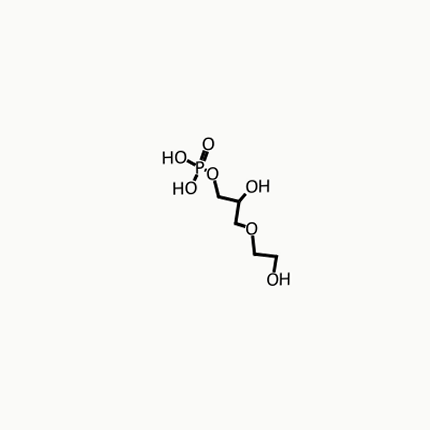 O=P(O)(O)OCC(O)COCCO